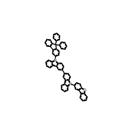 c1ccc(C2(c3ccccc3)c3ccccc3-c3cc(-n4c5ccccc5c5cc(-c6ccc7c(c6)c6ccccc6n7-c6ccc7oc8ccccc8c7c6)ccc54)ccc32)cc1